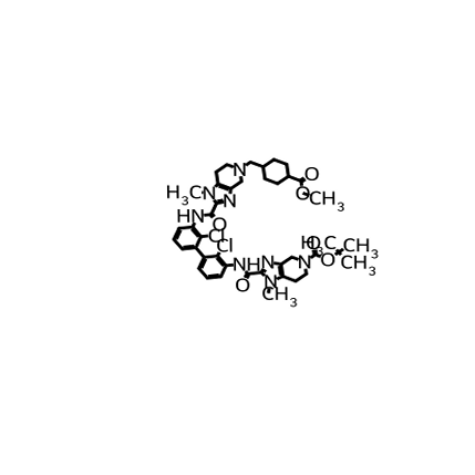 COC(=O)C1CCC(CN2CCc3c(nc(C(=O)Nc4cccc(-c5cccc(NC(=O)c6nc7c(n6C)CCN(C(=O)OC(C)(C)C)C7)c5Cl)c4Cl)n3C)C2)CC1